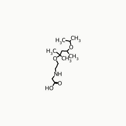 CC(C)OC(C)CC(C)(C)OCCNCC(=O)O